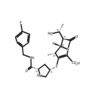 C[C@@H](O)[C@H]1C(=O)N2C(C(=O)O)=C(S[C@@H]3CN[C@H](C(=O)NCc4ccc(F)cc4)C3)[C@H](C)[C@H]12